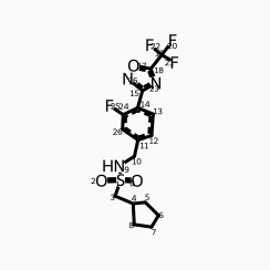 O=S(=O)(CC1CCCC1)NCc1ccc(-c2noc(C(F)(F)F)n2)c(F)c1